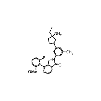 COc1cccc(F)c1-c1nccc2c1CN(c1cc(C)cc(N3CCC(N)(CF)C3)n1)C2=O